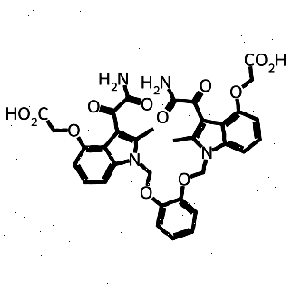 Cc1c(C(=O)C(N)=O)c2c(OCC(=O)O)cccc2n1COc1ccccc1OCn1c(C)c(C(=O)C(N)=O)c2c(OCC(=O)O)cccc21